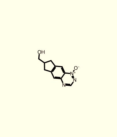 [O-][n+]1ncnc2cc3c(cc21)CC(CO)C3